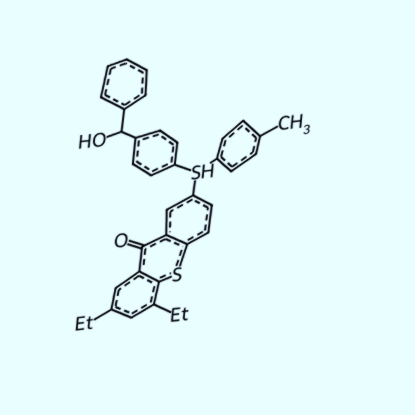 CCc1cc(CC)c2sc3ccc([SH](c4ccc(C)cc4)c4ccc(C(O)c5ccccc5)cc4)cc3c(=O)c2c1